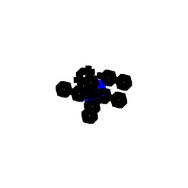 Cc1ccc(-c2ccccc2)cc1N1c2cc3c(cc2Bc2c(-c4cc5ccccc5cc4Nc4ccc(-c5ccccc5)cc4)cc(-c4ccccc4)cc21)C(C)(C)CCC3(C)C